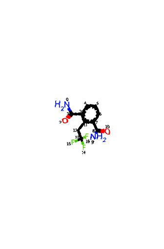 NC(=O)c1cccc(C(N)=O)c1CC(F)(F)F